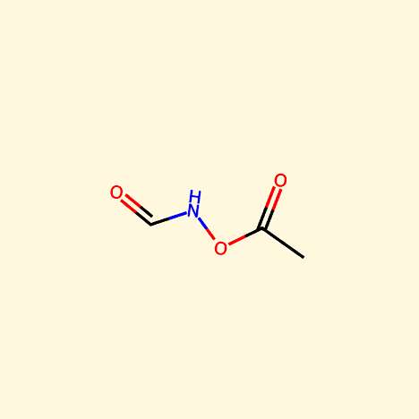 CC(=O)ONC=O